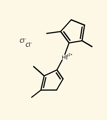 CC1=CCC(C)=[C]1[Hf+2][C]1=CCC(C)=C1C.[Cl-].[Cl-]